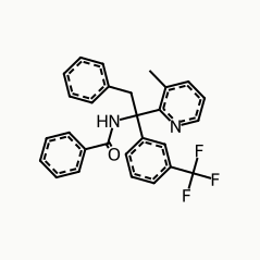 Cc1cccnc1C(Cc1ccccc1)(NC(=O)c1ccccc1)c1cccc(C(F)(F)F)c1